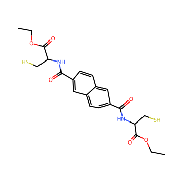 CCOC(=O)C(CS)NC(=O)c1ccc2cc(C(=O)NC(CS)C(=O)OCC)ccc2c1